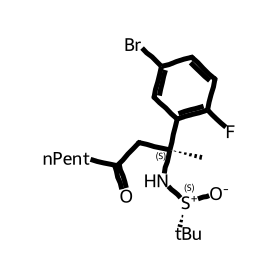 CCCCCC(=O)C[C@](C)(N[S@+]([O-])C(C)(C)C)c1cc(Br)ccc1F